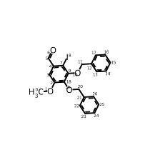 COc1cc(C=O)c(I)c(OCc2ccccc2)c1OCc1ccccc1